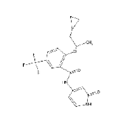 CC(CC1CC1)Oc1ccc(C(F)(F)F)cc1C(=O)Nc1cc[nH]c(=O)c1